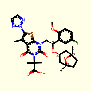 COc1ccc(F)cc1[C@H](Cn1c(=O)n(C(C)(C)C(=O)O)c(=O)c2c(C)c(-n3nccn3)sc21)O[C@@H]1C[C@H]2CC[C@@H](C1)O2